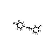 Cc1cncc(C#Cc2ccc(F)cc2)c1